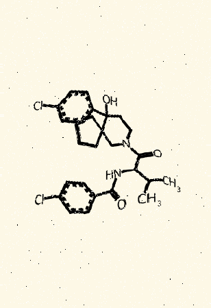 CC(C)[C@@H](NC(=O)c1ccc(Cl)cc1)C(=O)N1CCC(O)(c2ccc(Cl)cc2)C2(CCCC2)C1